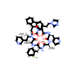 CCCC[C@H](NC(=O)[C@H](Cc1cccnc1)NC(=O)[C@H](CCCn1ccnc1)N(C)C(=O)OCC1c2ccccc2-c2ccccc21)C(=O)N[C@@H](Cc1ccccc1F)C(=O)N[C@@H](CCCC)C(=O)N(C)[C@@H](Cc1cccnc1)C(=O)O